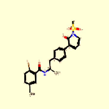 COc1ccc(Br)c(C(=O)N[C@@H](Cc2ccc(-c3cccn(S(C)(=O)=O)c3=O)cc2)C(=O)O)c1